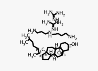 CC(C)CCCC(C)[C@H]1CC[C@H]2[C@@H]3CC=C4C[C@@H](O)CC[C@]4(C)[C@H]3CC[C@]12C.N=C(N)N.N=C(N)N.NCCCCNCCCN